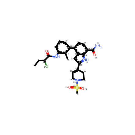 CCC(Cl)C(=O)Nc1cccc(-c2ccc(C(N)=O)c3[nH]c(C4=CCN(S(C)(=O)=O)CC4)cc23)c1C